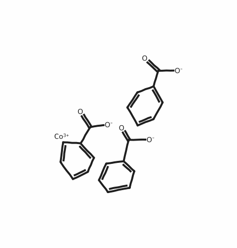 O=C([O-])c1ccccc1.O=C([O-])c1ccccc1.O=C([O-])c1ccccc1.[Co+3]